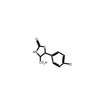 O=C1NC(C(=O)O)C(c2ccc(Cl)cc2)S1